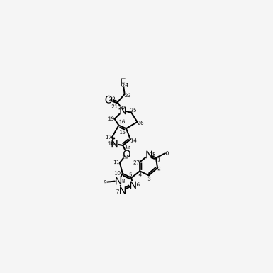 Cc1ccc(-c2nnn(C)c2COc2cc3c(cn2)CN(C(=O)CF)CC3)cn1